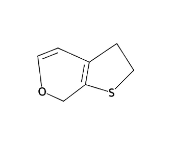 C1=CC2=C(CO1)SCC2